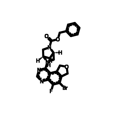 O=C(OCc1ccccc1)N1C[C@H]2[C@@H](F)[C@@H]1CN2c1ncnc2c(F)c(Br)c3c(c12)COC3